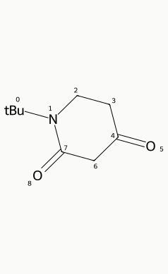 CC(C)(C)N1CCC(=O)CC1=O